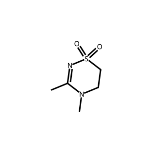 CC1=NS(=O)(=O)CCN1C